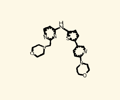 c1cc(Nc2ccc(-c3ccc(N4CCOCC4)nc3)s2)nc(CN2CCOCC2)n1